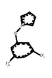 FC(F)(F)c1cc(On2c[c]cc2)cc(C(F)(F)F)c1